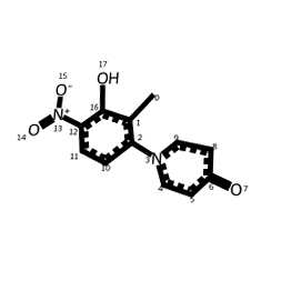 Cc1c(-n2ccc(=O)cc2)ccc([N+](=O)[O-])c1O